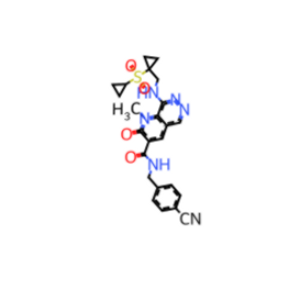 Cn1c(=O)c(C(=O)NCc2ccc(C#N)cc2)cc2cnnc(NCC3(S(=O)(=O)C4CC4)CC3)c21